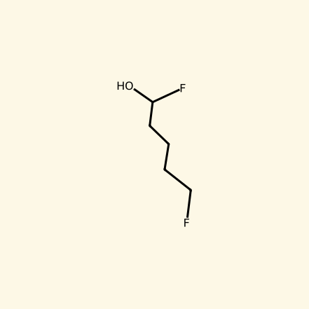 OC(F)CCCCF